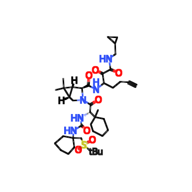 C#CCCC(NC(=O)[C@@H]1[C@@H]2[C@H](CN1C(=O)[C@@H](NC(=O)NC1(CS(=O)(=O)C(C)(C)C)CCCCC1)C1(C)CCCCC1)C2(C)C)C(=O)C(=O)NCC1CC1